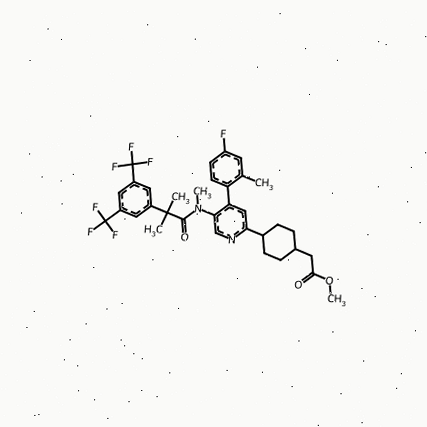 COC(=O)CC1CCC(c2cc(-c3ccc(F)cc3C)c(N(C)C(=O)C(C)(C)c3cc(C(F)(F)F)cc(C(F)(F)F)c3)cn2)CC1